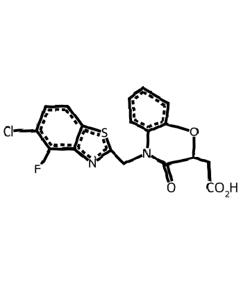 O=C(O)CC1Oc2ccccc2N(Cc2nc3c(F)c(Cl)ccc3s2)C1=O